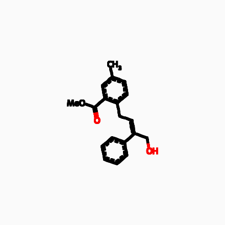 COC(=O)c1cc(C)ccc1CC=C(CO)c1ccccc1